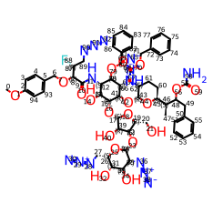 COc1ccc(CO[C@H](C(=O)N[C@H]2[C@H](O)[C@@H](O[C@@H]3O[C@H](CO)[C@@H](O[C@H]4O[C@@H](CN=[N+]=[N-])[C@@H](O)[C@H](O)[C@H]4N=[N+]=[N-])[C@H]3O)[C@H](O[C@H]3O[C@H]([C@H](C)C(Cc4ccccc4)OC(N)=O)CC[C@@H]3N=[N+]=[N-])[C@@H](NC(=O)OCc3ccccc3)[C@@H]2OCc2ccccc2)[C@H](F)CN=[N+]=[N-])cc1